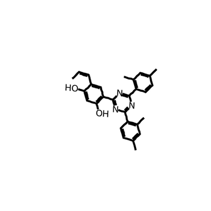 C/C=C\c1cc(-c2nc(-c3ccc(C)cc3C)nc(-c3ccc(C)cc3C)n2)c(O)cc1O